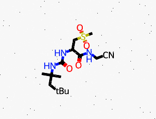 CC(C)(C)CC(C)(C)NC(=O)NC(CS(C)(=O)=O)C(=O)NCC#N